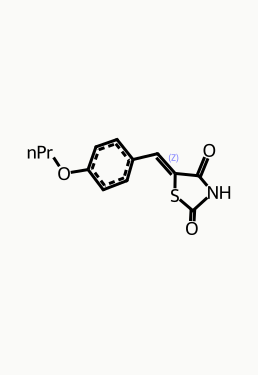 CCCOc1ccc(/C=C2\SC(=O)NC2=O)cc1